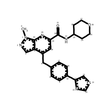 Cn1ncc2c(Cc3ccc(-c4cscn4)cc3)cc(C(=O)NC3CCOCC3)nc21